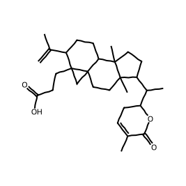 C=C(C)C1CCC2C3(C)CCC(C(C)C4CC=C(C)C(=O)O4)C3(C)CCC23CC13CCC(=O)O